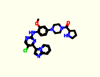 COc1cc(N2CCN(C(=O)C3CCCN3)CC2)ccc1Nc1ncc(Cl)c(-c2cnc3ccccn23)n1